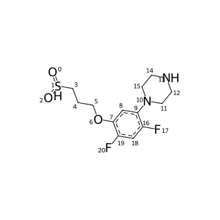 O=[SH](=O)CCCOc1cc(N2CCNCC2)c(F)cc1F